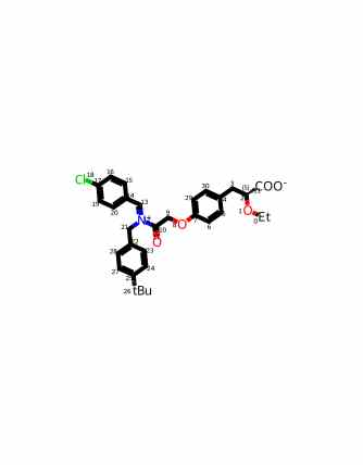 CCO[C@@H](Cc1ccc(OCC(=O)[N+](=Cc2ccc(Cl)cc2)Cc2ccc(C(C)(C)C)cc2)cc1)C(=O)[O-]